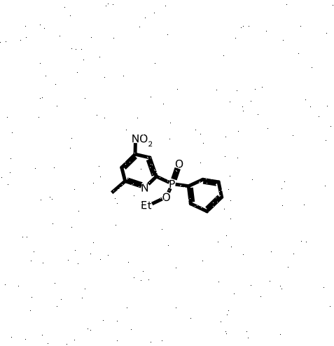 CCOP(=O)(c1ccccc1)c1cc([N+](=O)[O-])cc(C)n1